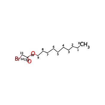 CCCCCCCCCCOC(=O)CBr